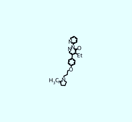 CCc1c(-c2ccc(OCCCN3CCC[C@H]3C)cc2)cnn(-c2ccccn2)c1=O